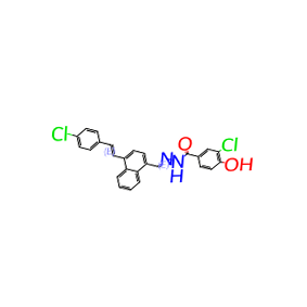 O=C(N/N=C/c1ccc(/C=C/c2ccc(Cl)cc2)c2ccccc12)c1ccc(O)c(Cl)c1